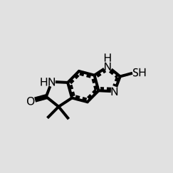 CC1(C)C(=O)Nc2cc3[nH]c(S)nc3cc21